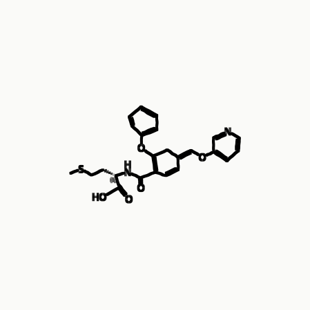 CSCC[C@H](NC(=O)C1=C(Oc2ccccc2)CC(=COc2cccnc2)C=C1)C(=O)O